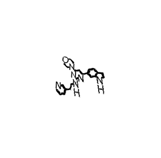 c1cncc(CCNc2nc(-c3ccc4cc[nH]c4c3)cc(N3CCOCC3)n2)c1